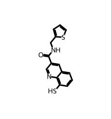 O=C(NCc1cccs1)c1cnc2c(S)cccc2c1